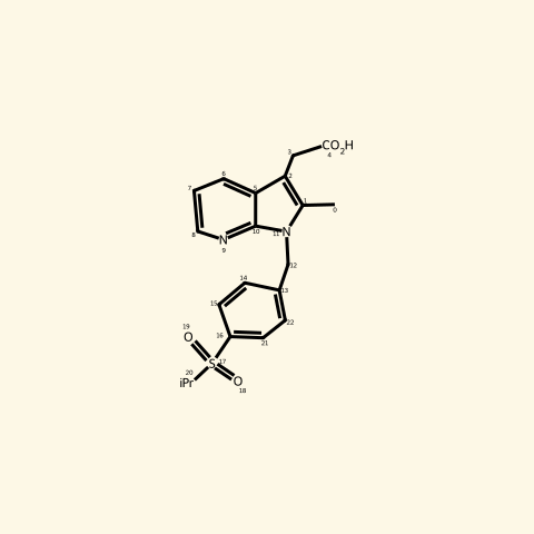 Cc1c(CC(=O)O)c2cccnc2n1Cc1ccc(S(=O)(=O)C(C)C)cc1